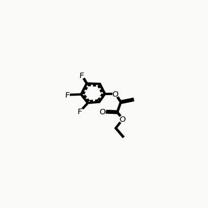 C=C(Oc1cc(F)c(F)c(F)c1)C(=O)OCC